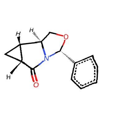 O=C1[C@@H]2C[C@@H]2[C@H]2CO[C@H](c3ccccc3)N12